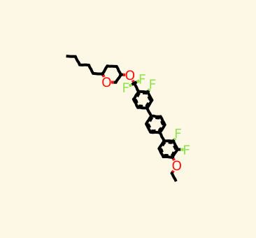 CCCCCC1CCC(OC(F)(F)c2ccc(-c3ccc(-c4ccc(OCC)c(F)c4F)cc3)cc2F)CO1